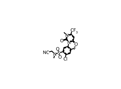 CN(CC#N)S(=O)(=O)c1cc(-n2c(=O)cc(C(F)(F)F)n(C)c2=O)c(F)cc1Cl